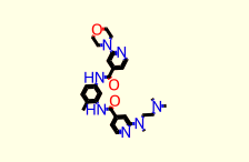 Cc1ccc(NC(=O)c2ccnc(N3CCOCC3)c2)cc1NC(=O)c1ccnc(N(C)CCN(C)C)c1